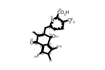 CC1=C(Cc2ccc(C(F)(F)F)c(C(=O)O)n2)C(=O)C2=C(F)C(C)C(F)=C2C1=O